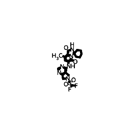 Cc1cc(Nc2ncnc3c2CN(S(=O)(=O)C(F)F)C3)c(=O)n2c1C(=O)NC21CCCCC1